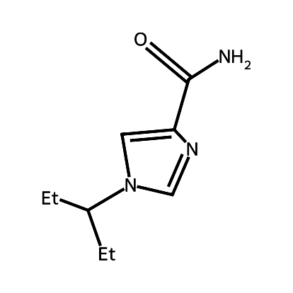 CCC(CC)n1cnc(C(N)=O)c1